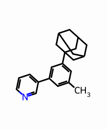 Cc1cc(-c2cccnc2)cc(C23CC4CC(CC(C4)C2)C3)c1